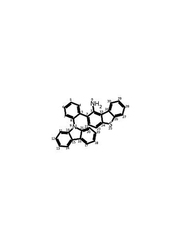 Nc1c(-c2ccccc2-n2c3ccccc3c3ccccc32)ccc2sc3ccccc3c12